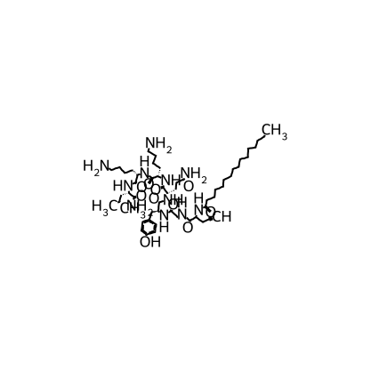 C#CCC(NC(=O)CCCCCCCCCCCCCCC)C(=O)NCC(=O)N[C@@H](Cc1ccc(O)cc1)C(=O)N[C@@H](CCC(N)=O)C(=O)N[C@@H](CCCCN)C(=O)N[C@@H](CCCCN)C(=O)N[C@@H](CC(C)C)C(N)=O